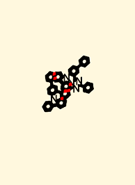 c1ccc(-c2ccc(-n3c4ccccc4c4ccccc43)c(-c3cccc(-c4nc(-c5ccccc5)nc(-c5cc(-c6ccccc6)ccc5-n5c6ccccc6c6ccccc65)n4)c3)c2)cc1